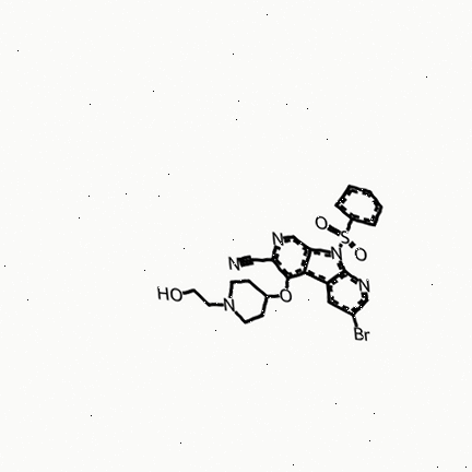 N#Cc1ncc2c(c1OC1CCN(CCO)CC1)c1cc(Br)cnc1n2S(=O)(=O)c1ccccc1